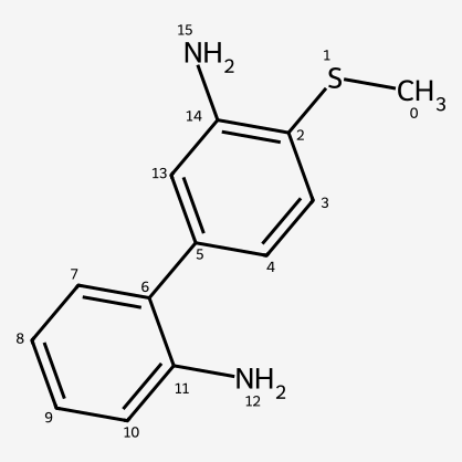 CSc1ccc(-c2ccccc2N)cc1N